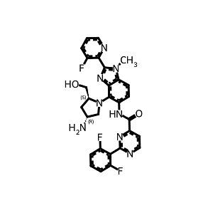 Cn1c(-c2ncccc2F)nc2c(N3C[C@H](N)C[C@H]3CO)c(NC(=O)c3ccnc(-c4c(F)cccc4F)n3)ccc21